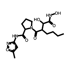 CCCCC(C(=O)N1CCCC1C(=O)Nc1cc(C)on1)C(O)C(=O)NO